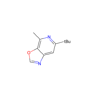 Cc1nc(C(C)(C)C)cc2ncoc12